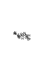 Cc1ncc(NC(=O)CN2CCCC23CC3)cc1NC(=O)c1cnn2cc(-c3cnn(C)c3)sc12